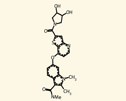 CNC(=O)c1c(C)n(C)c2cc(Oc3ccnc4cc(C(=O)N5CC(O)C(O)C5)sc34)ccc12